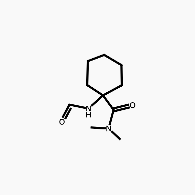 CN(C)C(=O)C1(NC=O)CCCCC1